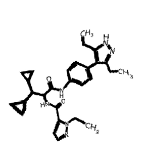 CCc1n[nH]c(CC)c1-c1ccc(NC(=O)C(NC(=O)c2ccnn2CC)C(C2CC2)C2CC2)cc1